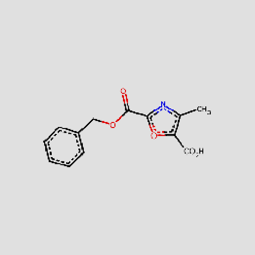 Cc1nc(C(=O)OCc2ccccc2)oc1C(=O)O